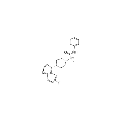 C[C@@H](C(=O)Nc1ccccc1)[C@H]1CC[C@@H](c2ccnc3ccc(F)cc32)CC1